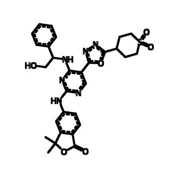 CC1(C)OC(=O)c2ccc(Nc3ncc(-c4nnc(C5CCS(=O)(=O)CC5)o4)c(NC(CO)c4ccccc4)n3)cc21